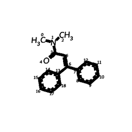 CN(C)C(=O)C=C(c1ccccc1)c1ccccc1